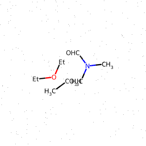 CC(=O)O.CCOCC.CN(C)C=O